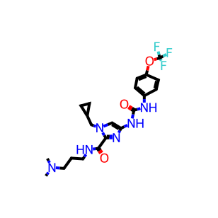 CN(C)CCCNC(=O)c1nc(NC(=O)Nc2ccc(OC(F)(F)F)cc2)cn1CC1CC1